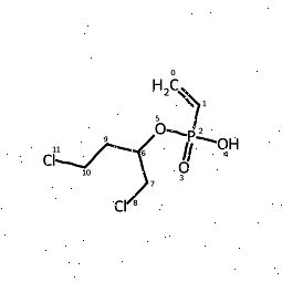 C=CP(=O)(O)OC(CCl)CCCl